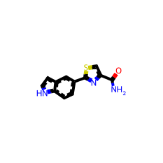 NC(=O)c1csc(-c2ccc3[nH]ccc3c2)n1